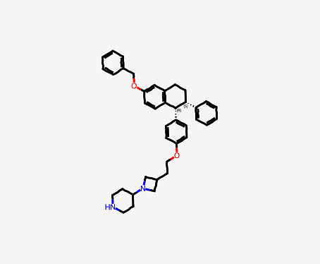 c1ccc(COc2ccc3c(c2)CC[C@H](c2ccccc2)[C@@H]3c2ccc(OCCC3CN(C4CCNCC4)C3)cc2)cc1